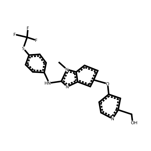 Cn1c(Nc2ccc(SC(F)(F)F)cc2)nc2cc(Oc3ccnc(CO)c3)ccc21